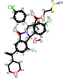 C=C(c1cc(F)c2c(c1)C(=O)N([C@H](c1ccc(Cl)cc1)[C@H](C)C(=O)OCCSI)[C@@]2(OC)c1ccc(Cl)cc1)C1CCOCC1